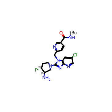 CC(C)(C)NC(=O)c1ccc(Cn2c(N3CC[C@@H](F)[C@H](N)C3)nc3ncc(Cl)cc32)nc1